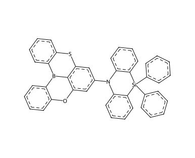 c1ccc([Si]2(c3ccccc3)c3ccccc3N(c3cc4c5c(c3)Sc3ccccc3B5c3ccccc3O4)c3ccccc32)cc1